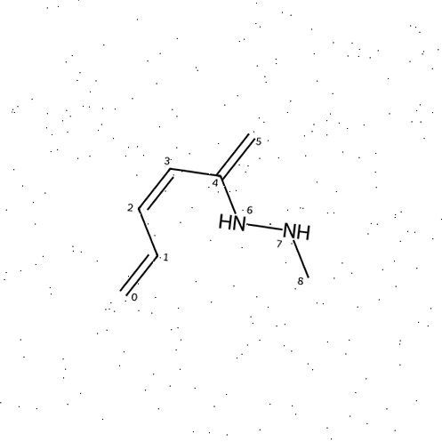 C=C/C=C\C(=C)NNC